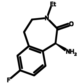 CCN1CCc2cc(F)ccc2[C@H](N)C1=O